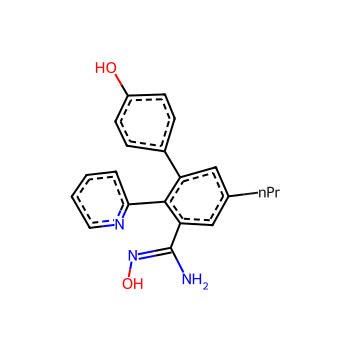 CCCc1cc(/C(N)=N/O)c(-c2ccccn2)c(-c2ccc(O)cc2)c1